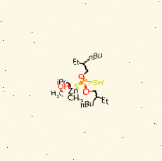 CCCCC(CC)COP(=S)(S)OCC(CC)CCCC.CO.[CH3][Zn][CH2]C(C)C